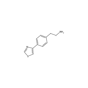 N[CH]Cc1ccc(-c2cscn2)cc1